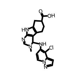 CN1C=Nc2[nH]c3c(c2C1Nc1ccn2nccc2c1Cl)CCC(C(=O)O)C3